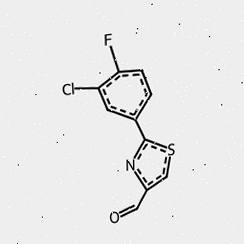 O=Cc1csc(-c2ccc(F)c(Cl)c2)n1